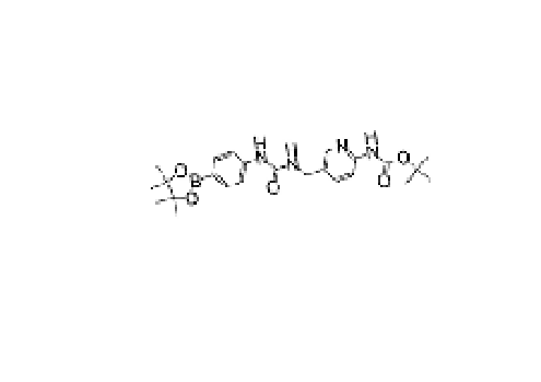 CC(C)(C)OC(=O)Nc1ccc(CNC(=O)Nc2ccc(B3OC(C)(C)C(C)(C)O3)cc2)cn1